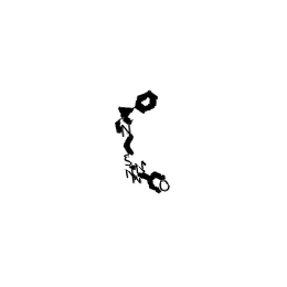 Cn1c(SCCCN2CC[C@@]3(C[C@H]3c3ccccc3)C2)nnc1C1CCOCC1